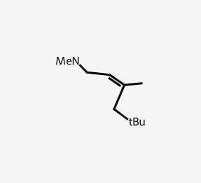 CNC/C=C(/C)CC(C)(C)C